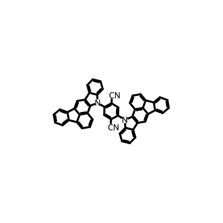 N#Cc1cc(-n2c3ccccc3c3cc4c5c(cccc5c32)-c2ccccc2-4)c(C#N)cc1-n1c2ccccc2c2cc3c4c(cccc4c21)-c1ccccc1-3